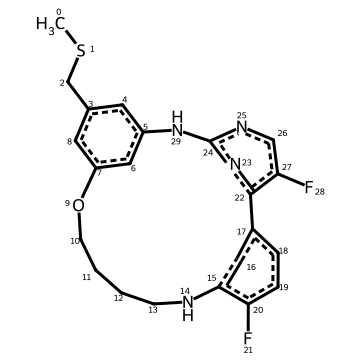 CSCc1cc2cc(c1)OCCCCNc1cc(ccc1F)-c1nc(ncc1F)N2